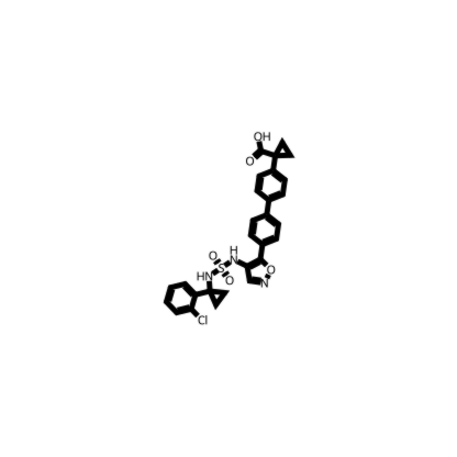 O=C(O)C1(c2ccc(-c3ccc(-c4oncc4NS(=O)(=O)NC4(c5ccccc5Cl)CC4)cc3)cc2)CC1